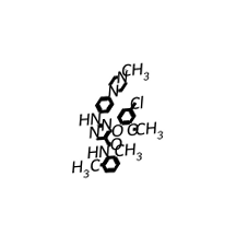 COc1cc(Cl)ccc1Oc1nc(Nc2ccc(N3CCN(C)CC3)cc2)ncc1C(=O)Nc1c(C)cccc1C